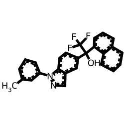 Cc1cccc(-n2ncc3cc(C(O)(c4cccc5ccccc45)C(F)(F)F)ccc32)c1